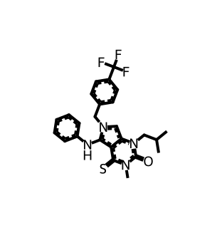 CC(C)Cn1c(=O)n(C)c(=S)c2c(Nc3ccccc3)n(Cc3ccc(C(F)(F)F)cc3)cc21